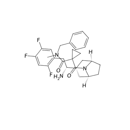 CN(Cc1ccccc1)C(=O)C1(C(=O)N2[C@@H]3CC[C@H]2C[C@H]([C@H](N)Cc2cc(F)c(F)cc2F)C3)CC1